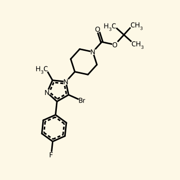 Cc1nc(-c2ccc(F)cc2)c(Br)n1C1CCN(C(=O)OC(C)(C)C)CC1